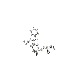 NCC(Cc1ccccc1)c1ccc(F)c(OCC(N)=O)c1